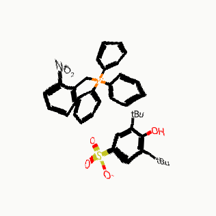 CC(C)(C)c1cc(S(=O)(=O)[O-])cc(C(C)(C)C)c1O.O=[N+]([O-])c1ccccc1C[P+](c1ccccc1)(c1ccccc1)c1ccccc1